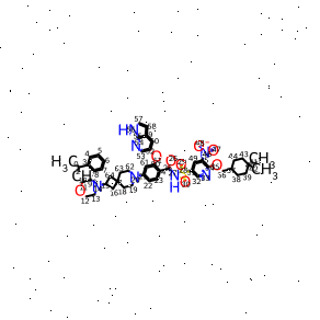 CC(C)c1ccccc1[C@H]1COCCN1C1CC2(CCN(c3ccc(C(=O)NS(=O)(=O)c4cnc(OCC5CCC(C)(C)CC5)c([N+](=O)[O-])c4)c(Oc4cnc5[nH]ccc5c4)c3)CC2)C1